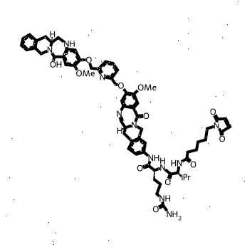 COc1cc2c(cc1OCc1cccc(COc3cc4c(cc3OC)C(O)N3Cc5ccccc5C[C@H]3CN4)n1)N=C[C@@H]1Cc3ccc(NC(=O)[C@H](CCCNC(N)=O)NC(=O)[C@@H](NC(=O)CCCCCN4C(=O)C=CC4=O)C(C)C)cc3CN1C2=O